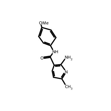 COc1ccc(NC(=O)c2ccc(C)nc2N)cc1